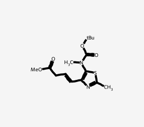 COC(=O)C/C=C/c1nc(C)sc1N(C)C(=O)OC(C)(C)C